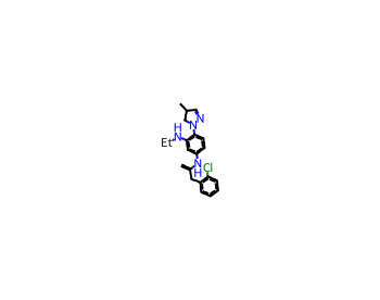 C=C(Cc1ccccc1Cl)Nc1ccc(N2CC(C)C=N2)c(NCC)c1